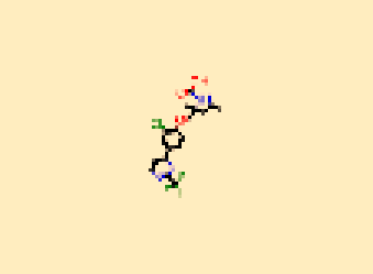 CC(C)CC(C)(COc1ccc(-c2ccnc(C(F)(F)F)n2)cc1Cl)NC(=O)O